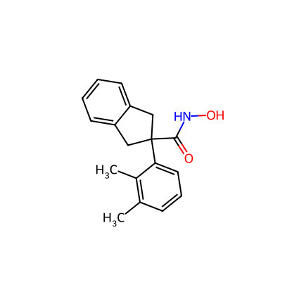 Cc1cccc(C2(C(=O)NO)Cc3ccccc3C2)c1C